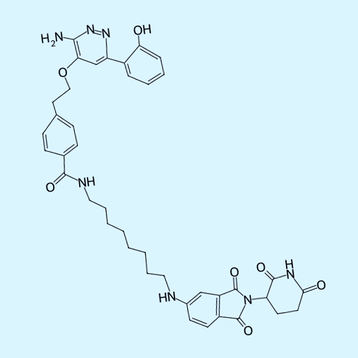 Nc1nnc(-c2ccccc2O)cc1OCCc1ccc(C(=O)NCCCCCCCCNc2ccc3c(c2)C(=O)N(C2CCC(=O)NC2=O)C3=O)cc1